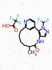 CC1CCCCc2cc(ccn2)-c2c(cnn2C(F)F)NC1=O.O=C(O)C(F)(F)F